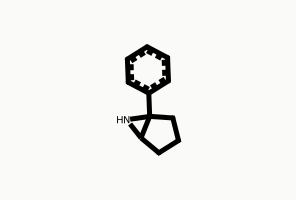 c1ccc(C23CCCC2N3)cc1